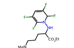 CCOC(=O)C(CCCNC)NN1C(F)=C(F)C=C(F)C1F